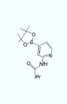 CC(C)C(=O)Nc1cc(B2OC(C)(C)C(C)(C)O2)ccn1